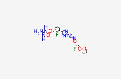 N=C(N)NC(=O)OCc1cccc(-c2cnc(N3CC(=NOCC(CF)COC4CCCCO4)C3)nc2)c1F